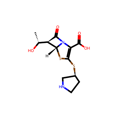 C[C@@H](O)[C@H]1C(=O)N2C(C(=O)O)=C(S[C@H]3CCNC3)S[C@H]12